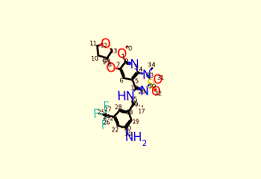 COc1nc2c(cc1O[C@H]1CCOC1)C(N[C@H](C)c1cc(N)cc(C(F)(F)F)c1)=NS(=O)(=O)N2C